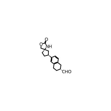 O=C[C@@H]1CCc2cc([C@H]3CC[C@]4(COC(=O)N4)C3)ccc2C1